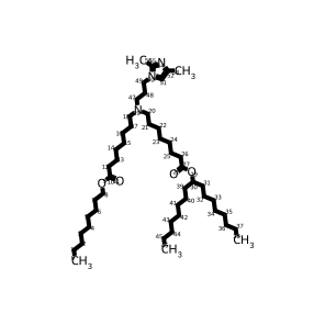 CCCCCCCCCOC(=O)CCCCCCCN(CCCCCCCC(=O)OC(CCCCCCCC)CCCCCCCC)CCCn1cc(C)nc1C